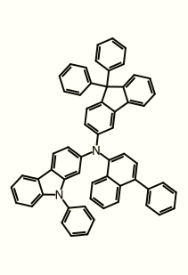 c1ccc(-c2ccc(N(c3ccc4c(c3)-c3ccccc3C4(c3ccccc3)c3ccccc3)c3ccc4c5ccccc5n(-c5ccccc5)c4c3)c3ccccc23)cc1